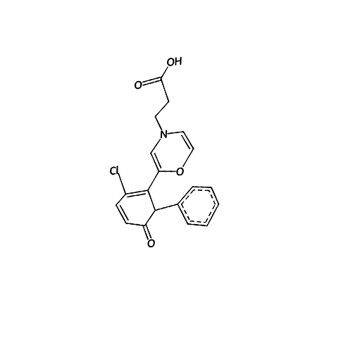 O=C(O)CCN1C=COC(C2=C(Cl)C=CC(=O)C2c2ccccc2)=C1